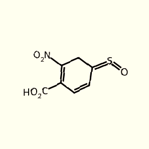 O=S=C1C=CC(C(=O)O)=C([N+](=O)[O-])C1